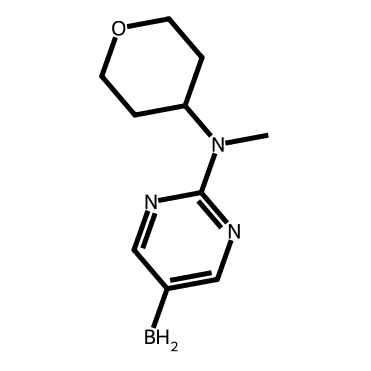 Bc1cnc(N(C)C2CCOCC2)nc1